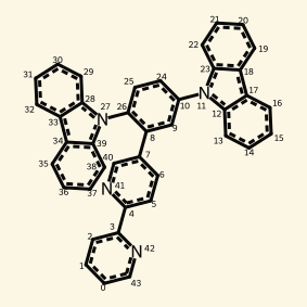 c1ccc(-c2ccc(-c3cc(-n4c5ccccc5c5ccccc54)ccc3-n3c4ccccc4c4ccccc43)cn2)nc1